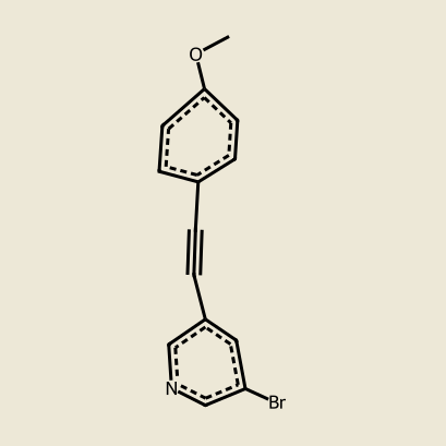 COc1ccc(C#Cc2cncc(Br)c2)cc1